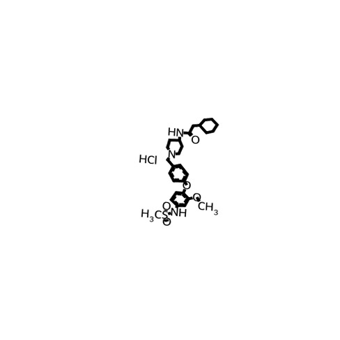 COc1cc(NS(C)(=O)=O)ccc1Oc1ccc(CN2CCC(NC(=O)CC3CCCCC3)CC2)cc1.Cl